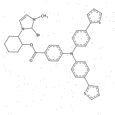 CN1C=CN(C2CCCCC2OC(=O)c2ccc(N(c3ccc(-c4cccs4)cc3)c3ccc(-c4cccs4)cc3)cc2)C1Br